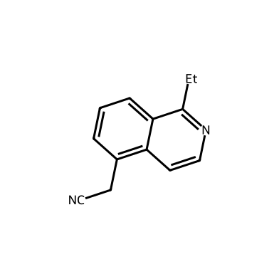 CCc1nccc2c(CC#N)cccc12